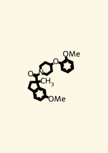 COc1ccc2c(c1)C(C)(C(=O)N1CCC(Oc3ccccc3OC)CC1)CC2